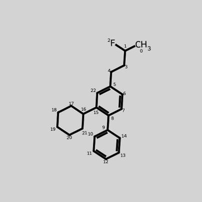 CC(F)CCc1ccc(-c2ccccc2)c(C2CCCCC2)c1